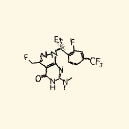 CC[C@H](c1ccc(C(F)(F)F)cc1F)n1nc(CF)c2c(=O)[nH]c(N(C)C)nc21